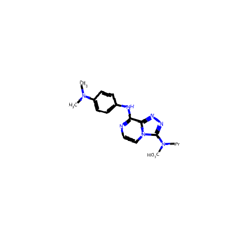 CC(C)N(C(=O)O)c1nnc2c(Nc3ccc(N(C)C)cc3)nccn12